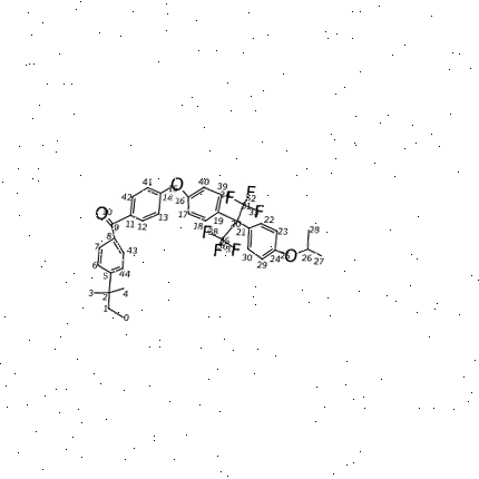 CCC(C)(C)c1ccc(C(=O)c2ccc(Oc3ccc(C(c4ccc(OC(C)C)cc4)(C(F)(F)F)C(F)(F)F)cc3)cc2)cc1